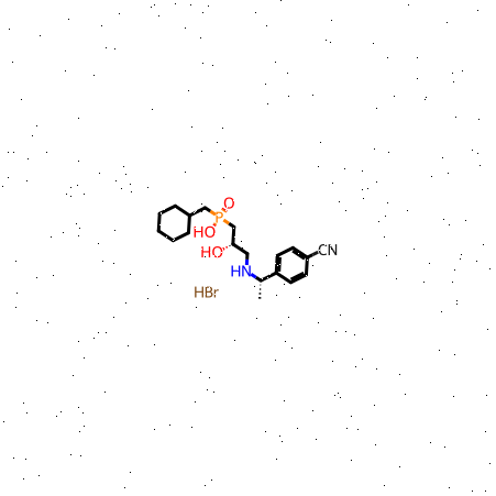 Br.C[C@H](NC[C@H](O)CP(=O)(O)CC1CCCCC1)c1ccc(C#N)cc1